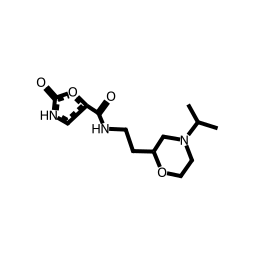 CC(C)N1CCOC(CCNC(=O)c2c[nH]c(=O)o2)C1